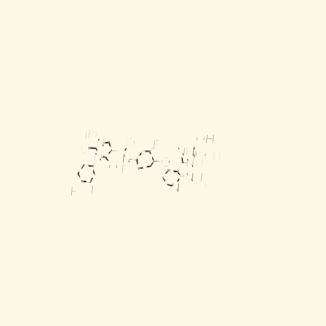 CC(C)n1cc(C(=O)Nc2ccc(Oc3ccnc(N)c3C(=N)N[C@@H](C)CO)c(F)c2)c(=O)n(-c2ccc(F)c(F)c2)c1=O